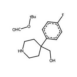 CC(C)(C)OC=O.OCC1(c2ccc(F)cc2)CCNCC1